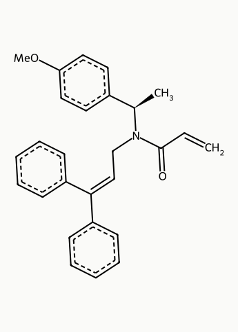 C=CC(=O)N(CC=C(c1ccccc1)c1ccccc1)[C@H](C)c1ccc(OC)cc1